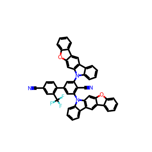 N#Cc1ccc(-c2cc(-n3c4ccccc4c4cc5c(cc43)oc3ccccc35)c(C#N)c(-n3c4ccccc4c4cc5c(cc43)oc3ccccc35)c2)c(C(F)(F)F)c1